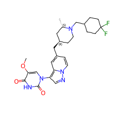 COc1cn(-c2cnn3ccc(C[C@@H]4CCN(CC5CCC(F)(F)CC5)[C@@H](C)C4)cc23)c(=O)[nH]c1=O